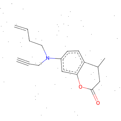 C#CCN(CCC=C)c1ccc2c(c1)OC(=O)CC2C